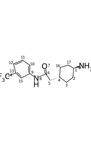 N[C@H]1CC[C@H](CC(=O)Nc2cccc(C(F)(F)F)c2)CC1